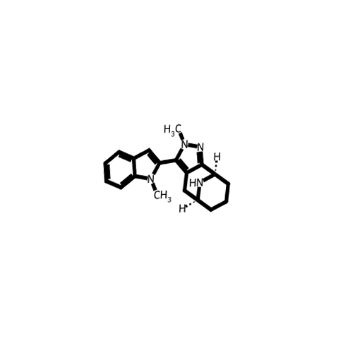 Cn1nc2c(c1-c1cc3ccccc3n1C)C[C@@H]1CCC[C@H]2N1